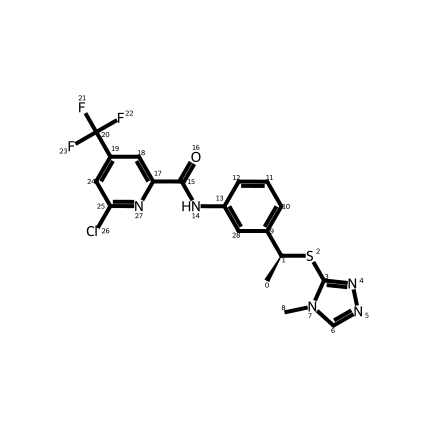 C[C@H](Sc1nncn1C)c1cccc(NC(=O)c2cc(C(F)(F)F)cc(Cl)n2)c1